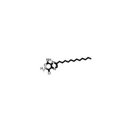 CCCCCCCCCCCCc1cnc(C(N)=O)c(C(N)=O)n1